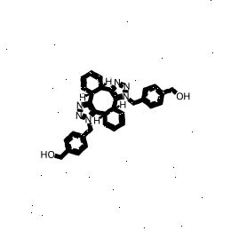 OCc1ccc(Cn2nnc3c2[C@H]2C=CC=C[C@H]2c2c(nnn2Cc2ccc(CO)cc2)[C@H]2C=CC=C[C@@H]32)cc1